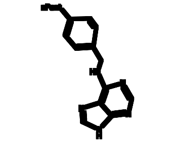 CCCCCc1ccc(CNc2ncnc3[nH]cnc23)cc1